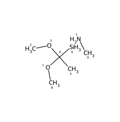 CN.COC(C)([SiH3])OC